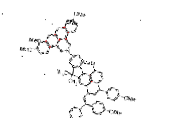 COc1ccc(C(=CN(C=C(c2ccc(OC)cc2)c2ccc(OC)cc2)c2ccc3c(c2)C(C)(C)c2cc(N(C=C(c4ccc(OC)cc4)c4ccc(OC)cc4)C=C(c4ccc(OC)cc4)c4ccc(OC)cc4)ccc2-3)c2ccc(OC)cc2)cc1